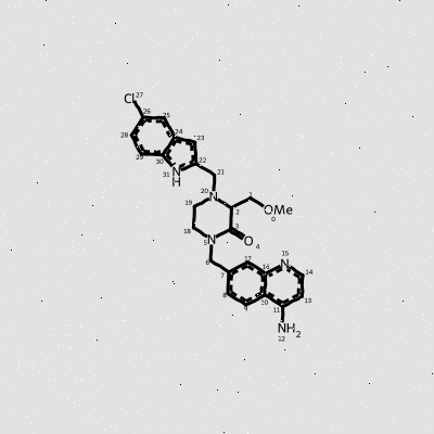 COCC1C(=O)N(Cc2ccc3c(N)ccnc3c2)CCN1Cc1cc2cc(Cl)ccc2[nH]1